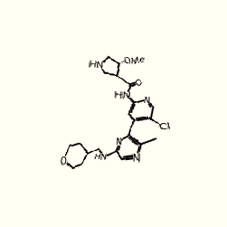 CO[C@H]1CNC[C@@H]1C(=O)Nc1cc(-c2nc(NCC3CCOCC3)cnc2C)c(Cl)cn1